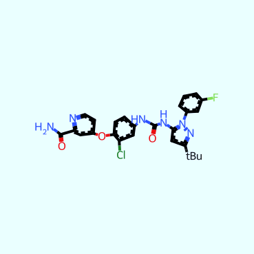 CC(C)(C)c1cc(NC(=O)Nc2ccc(Oc3ccnc(C(N)=O)c3)c(Cl)c2)n(-c2cccc(F)c2)n1